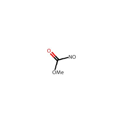 COC(=O)N=O